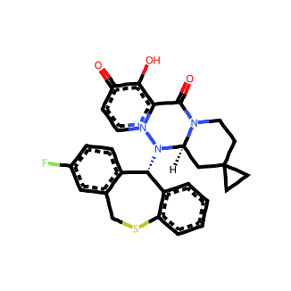 O=C1c2c(O)c(=O)ccn2N([C@H]2c3ccc(F)cc3CSc3ccccc32)[C@@H]2CC3(CCN12)CC3